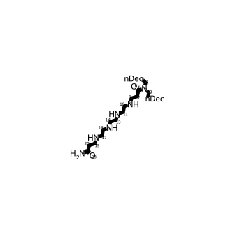 CCCCCCCCCCCN(CCCCCCCCCCC)C(=O)CCNCCNCCNCCNCCC(N)=O